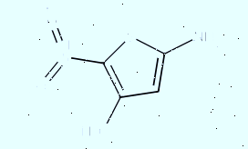 Cc1cc(N)sc1[SH](=O)=O